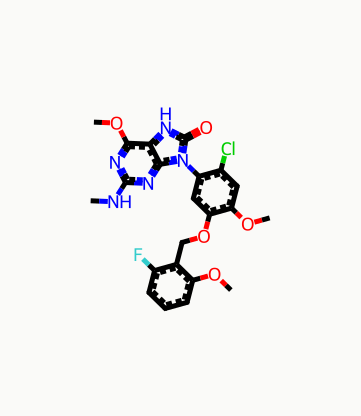 CNc1nc(OC)c2[nH]c(=O)n(-c3cc(OCc4c(F)cccc4OC)c(OC)cc3Cl)c2n1